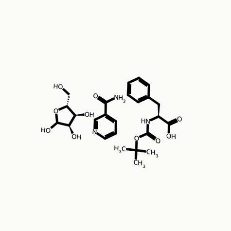 CC(C)(C)OC(=O)N[C@@H](Cc1ccccc1)C(=O)O.NC(=O)c1cccnc1.OC[C@H]1OC(O)[C@H](O)[C@@H]1O